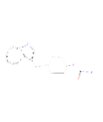 NC(=O)NC1CCN(Cc2c[nH]c3ccccc23)CC1